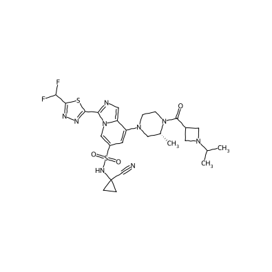 CC(C)N1CC(C(=O)N2CCN(c3cc(S(=O)(=O)NC4(C#N)CC4)cn4c(-c5nnc(C(F)F)s5)ncc34)C[C@H]2C)C1